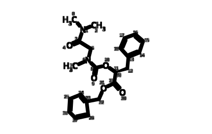 CN(C)C(=O)CN(C)C(=O)O[C@@H](Cc1ccccc1)C(=O)OCc1ccccc1